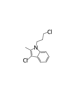 Cc1c(Cl)c2ccccc2n1CCCCl